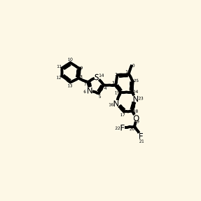 Cc1cc(-c2cnc(-c3ccccc3)s2)c2ncc(OC(F)F)nc2c1